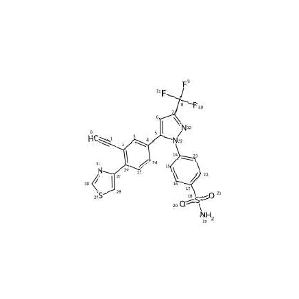 C#Cc1cc(-c2cc(C(F)(F)F)nn2-c2ccc(S(N)(=O)=O)cc2)ccc1-c1cscn1